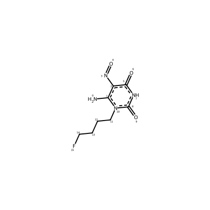 Nc1c(N=O)c(=O)[nH]c(=O)n1CCCCF